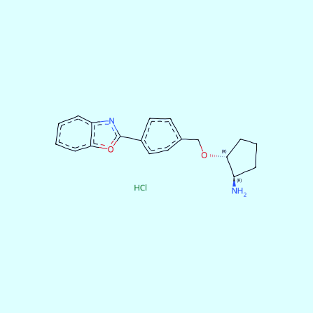 Cl.N[C@@H]1CCC[C@H]1OCc1ccc(-c2nc3ccccc3o2)cc1